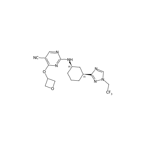 N#Cc1cnc(N[C@@H]2CCC[C@H](c3ncn(CC(F)(F)F)n3)C2)nc1OC1COC1